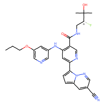 CCCOc1cncc(Nc2cc(-c3ccc4cc(C#N)cnn34)ncc2C(=O)NC[C@@H](F)C(C)(C)O)c1